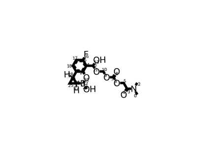 CN(C)C(=O)COC(=O)OCOC(O)c1c(F)ccc2c1OB(O)[C@@H]1C[C@H]21